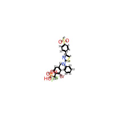 CS(=O)(=O)c1ccc(-c2csc(N(Cc3ccc(C(F)(F)P(=O)(O)O)c(Br)c3)c3ccccc3)n2)cc1